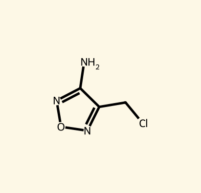 Nc1nonc1CCl